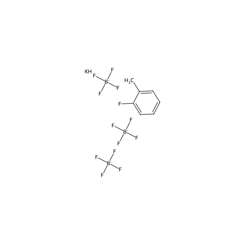 Cc1ccccc1F.F[B-](F)(F)F.F[B-](F)(F)F.F[B-](F)(F)F.[KH]